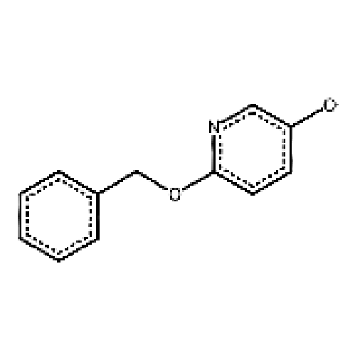 [O]c1ccc(OCc2ccccc2)nc1